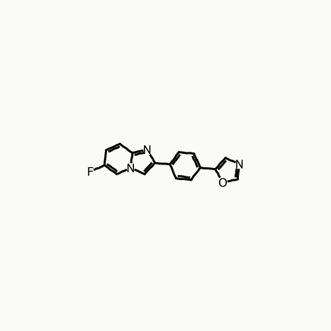 Fc1ccc2nc(-c3ccc(-c4cnco4)cc3)cn2c1